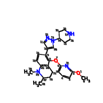 COc1cccc(Oc2c(-c3cnn(C4CCNCC4)c3)ccc3c2CCC(C)N3C)n1